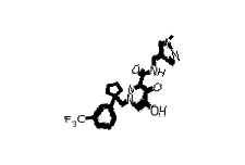 Cn1cc(CNC(=O)c2nn(CC3(c4cccc(C(F)(F)F)c4)CCCC3)cc(O)c2=O)cn1